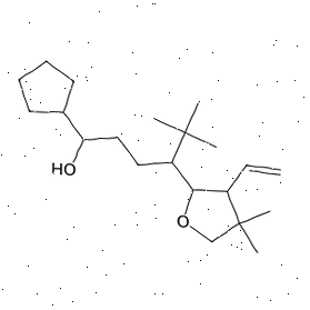 C=CC1C(C(CCC(O)C2CCCC2)C(C)(C)C)OCC1(C)C